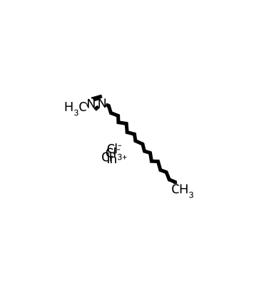 CCCCCCCCCCCCCCCCCCN1C=CN(C)C1.[Cl-].[Cl-].[Cl-].[In+3]